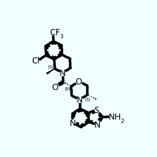 C[C@H]1c2c(Cl)cc(C(F)(F)F)cc2CCN1C(=O)[C@H]1CN(c2cncc3nc(N)sc23)[C@@H](C)CO1